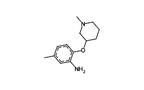 Cc1ccc(OC2CCCN(C)C2)c(N)c1